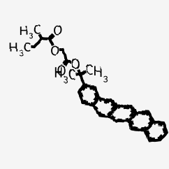 CCC(C)C(=O)OCC(=O)OC(C)(C)c1ccc2cc3cc4cc5ccccc5cc4cc3cc2c1